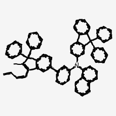 C=C/C=C\C1=C(C)C(c2ccccc2)(c2ccccc2)c2ccc(-c3cccc(N(c4ccc5c(c4)C(c4ccccc4)(c4ccccc4)c4ccccc4-5)c4cccc5ccccc45)c3)cc21